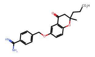 CC1(CCC(=O)O)CC(=O)c2cc(OCc3ccc(C(=N)N)cc3)ccc2O1